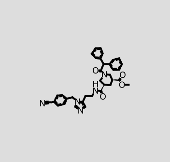 COC(=O)[C@H]1C[C@@H](C(=O)NCCc2cncn2Cc2ccc(C#N)cc2)CN(C(=O)C(c2ccccc2)c2ccccc2)C1